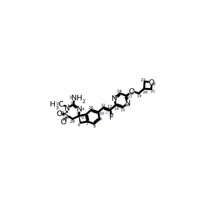 CN1C(N)=N[C@@]2(Cc3ccc(/C=C(\F)c4cnc(OCC5COC5)cn4)cc32)CS1(=O)=O